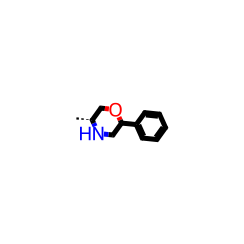 C[C@@H]1COC(c2ccccc2)CN1